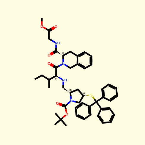 CCC(C)[C@H](NC[C@@H]1C[C@H](SC(c2ccccc2)(c2ccccc2)c2ccccc2)CN1C(=O)OC(C)(C)C)C(=O)N1Cc2ccccc2C[C@H]1C(=O)NCC(=O)OC